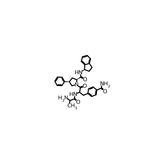 CC(N)C(=O)NC(Cc1ccc(C(N)=O)cc1)C(=O)N1C[C@@H](c2ccccc2)C[C@H]1C(=O)N[C@@H]1CCc2ccccc21